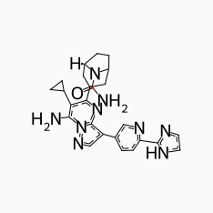 NC(=O)N1C2CC[C@H]1CC(c1nc3c(-c4ccc(-c5ncc[nH]5)nc4)cnn3c(N)c1C1CC1)C2